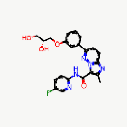 Cc1nc2ccc(-c3cccc(OC[C@H](O)CO)c3)nn2c1C(=O)Nc1ccc(F)cn1